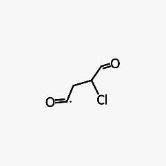 O=[C]CC(Cl)C=O